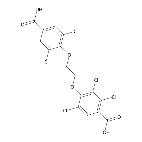 O=C(O)c1cc(Cl)c(OCCOc2c(Cl)cc(C(=O)O)c(Cl)c2Cl)c(Cl)c1